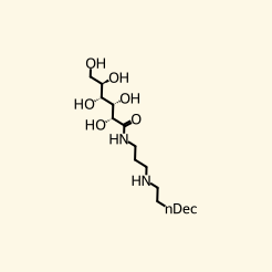 CCCCCCCCCCCCNCCCNC(=O)[C@H](O)[C@@H](O)[C@H](O)[C@H](O)CO